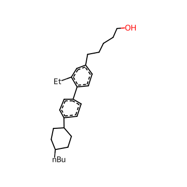 CCCCC1CCC(c2ccc(-c3ccc(CCCCCO)cc3CC)cc2)CC1